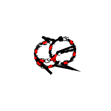 c1cc2ccc1CSCc1ccc(cc1)-c1cc3cc(c1)-c1ccc(cc1)CSCc1ccc(cc1)-c1cc4cc(c1)-c1ccc(cc1)CSCc1ccc(cc1)-c1cc(cc(c1)-c1ccc(cc1)CSCc1ccc-3cc1)-c1ccc(cc1)CSCc1ccc(cc1)-c1cc-2cc(c1)-c1ccc(cc1)CSCc1ccc-4cc1